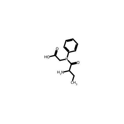 CCC(N)C(=O)N(CC(=O)O)c1ccccc1